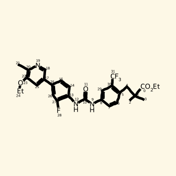 CCOC(=O)C(C)(C)Cc1ccc(NC(=O)Nc2ccc(-c3cnc(C)c(OCC)c3)cc2F)cc1C(F)(F)F